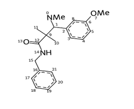 CNC(c1cccc(OC)c1)C(C)(C)C(=O)NCc1ccccc1